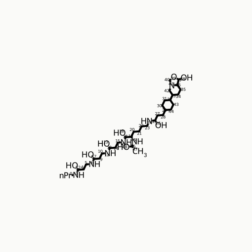 CCCNC(O)CCNC(O)CCNC(O)CCNC(O)C(CCCCNC(O)CCC1CCC(C2CCC3C(O)OCN3C2)CC1)NC(C)O